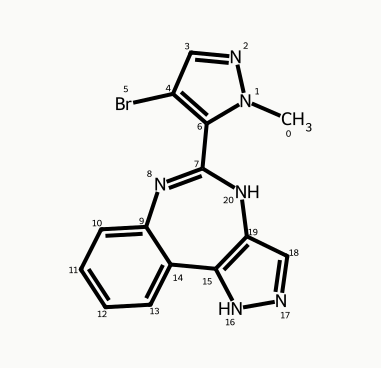 Cn1ncc(Br)c1C1=Nc2ccccc2-c2[nH]ncc2N1